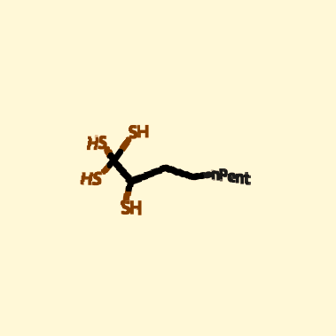 CCCCCCCC(S)C(S)(S)S